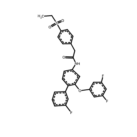 CCS(=O)(=O)c1ccc(CC(=O)Nc2ccc(-c3cccc(F)c3)c(Oc3cc(F)cc(F)c3)c2)cc1